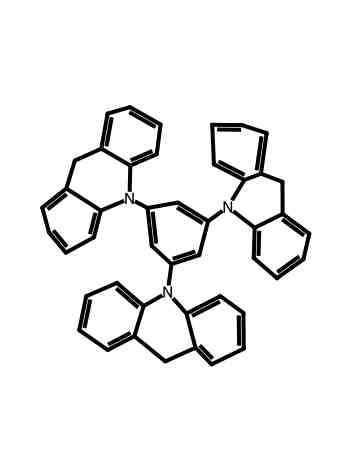 c1ccc2c(c1)Cc1ccccc1N2c1cc(N2c3ccccc3Cc3ccccc32)cc(N2c3ccccc3Cc3ccccc32)c1